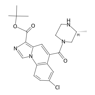 C[C@@H]1CN(C(=O)c2cc3c(C(=O)OC(C)(C)C)ncn3c3ccc(Cl)cc23)CCN1